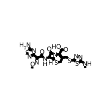 CNc1nnc(SCC2=C(C(=O)O)N3C(=O)C(NC(=O)C(=NOC)c4nsc(N)n4)[C@@H]3SC2)s1